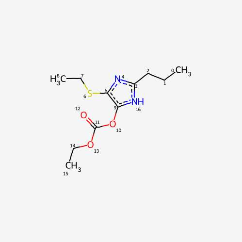 CCCc1nc(SCC)c(OC(=O)OCC)[nH]1